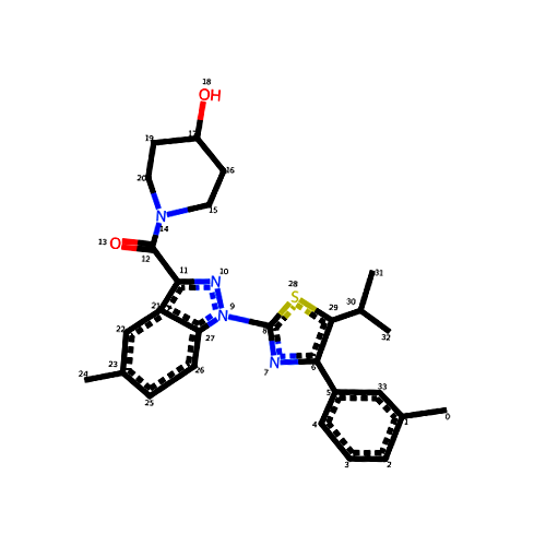 Cc1cccc(-c2nc(-n3nc(C(=O)N4CCC(O)CC4)c4cc(C)ccc43)sc2C(C)C)c1